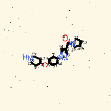 O=C(c1cnn(-c2ccc(OC3CCNCC3)cc2)c1)N1CCCC1